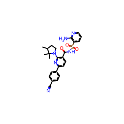 CC1CCN(c2nc(-c3ccc(C#N)cc3)ccc2C(=O)NS(=O)(=O)c2cccnc2N)C1(C)C